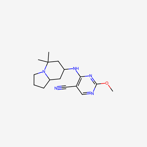 COc1ncc(C#N)c(NC2CC3CCCN3C(C)(C)C2)n1